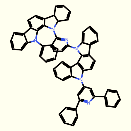 C1=CC2c3ccc4c5ccccc5n(-c5ccccc5)c4c3N(c3cccc(-n4c5ccccc5c5ccc6c(c7ccccc7n6-c6cc(-c7ccccc7)nc(-c7ccccc7)c6)c54)n3)C2C=C1